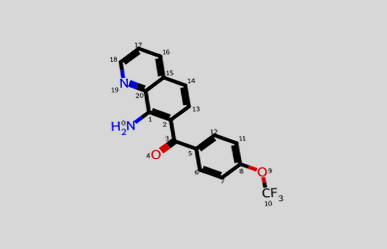 Nc1c(C(=O)c2ccc(OC(F)(F)F)cc2)ccc2cccnc12